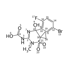 CN1C(NC(=O)O)=NC(C)(c2cc(Br)ccc2F)C2(CC2)S1(=O)=O